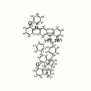 c1ccc(-c2ccc3c(c2)Oc2ccccc2C32c3ccccc3-c3ccc(-c4ccc(C5Nc6ccccc6C(c6ccc(N7c8ccccc8Oc8ccccc87)cc6)N5)cc4)cc32)cc1